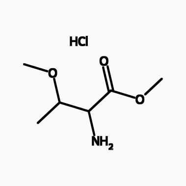 COC(=O)C(N)C(C)OC.Cl